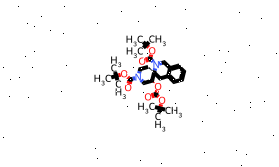 CC(C)(C)OC(=O)O[C@@H]1CN(C(=O)OC(C)(C)C)CC[C@]12Cc1ccccc1CN2C(=O)OC(C)(C)C